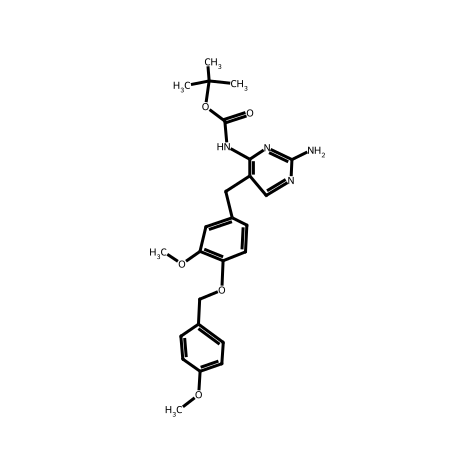 COc1ccc(COc2ccc(Cc3cnc(N)nc3NC(=O)OC(C)(C)C)cc2OC)cc1